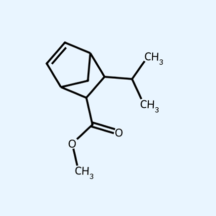 COC(=O)C1C2C=CC(C2)C1C(C)C